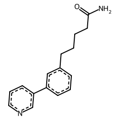 NC(=O)CCCCc1cccc(-c2cccnc2)c1